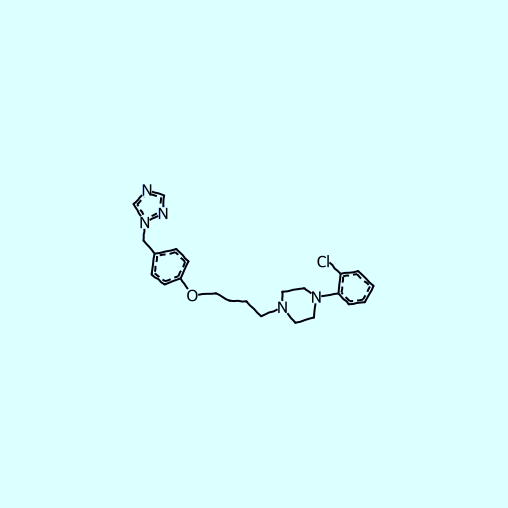 Clc1ccccc1N1CCN(CCCCOc2ccc(Cn3cncn3)cc2)CC1